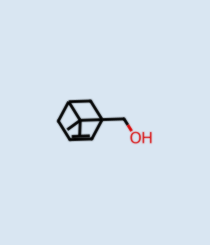 CC1(C)C2CC=CC1(CO)C2